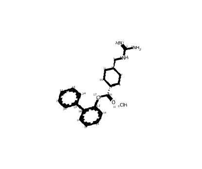 Cl.N=C(N)NC[C@H]1CC[C@H](C(=O)Oc2ccccc2-c2ccccc2)CC1